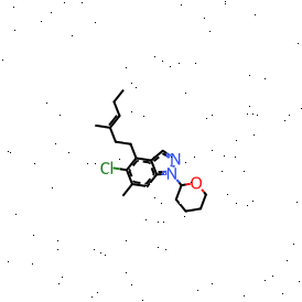 CCC=C(C)CCc1c(Cl)c(C)cc2c1cnn2C1CCCCO1